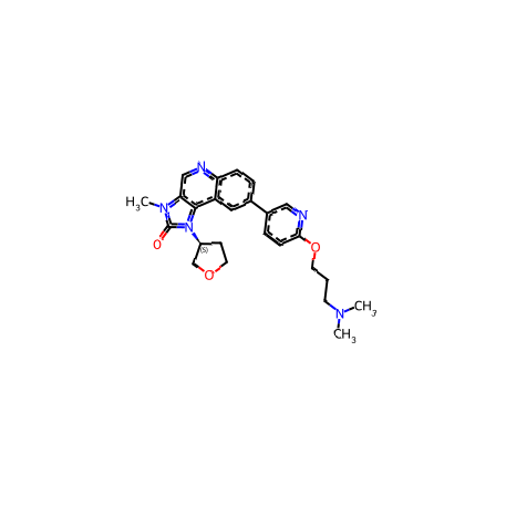 CN(C)CCCOc1ccc(-c2ccc3ncc4c(c3c2)n([C@H]2CCOC2)c(=O)n4C)cn1